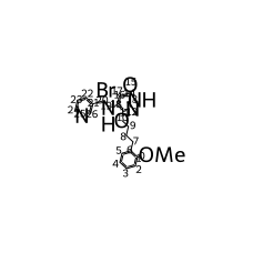 COc1ccccc1CCCOc1n[nH]c(=O)c(Br)c1NCc1cccnc1